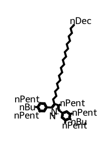 CCCCCCCCCCCCCCCCCCCCCCCCCCCCCCC1=C(c2cc(CCCCC)c(CCCC)c(CCCCC)c2)[N+](=[N-])C(c2cc(CCCCC)c(CCCC)c(CCCCC)c2)=C1CCCCC